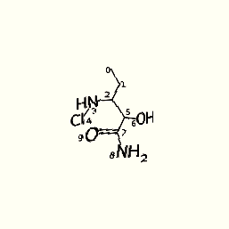 CCC(NCl)C(O)C(N)=O